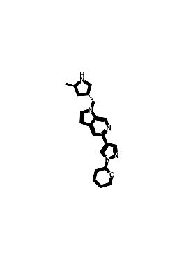 C[C@@H]1C[C@@H](Cn2ccc3cc(-c4cnn(C5CCCCO5)c4)ncc32)CN1